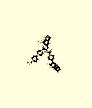 Cc1cc(C[C@@H](NC(=O)N2CCC(c3cc4c([nH]c3=O)C3CCC4C3)CC2)C(=O)N2CCN(C3CCN(C)CC3)CC2)cc2cn[nH]c12